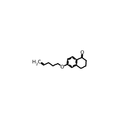 C=CCCCOc1ccc2c(c1)CCCC2=O